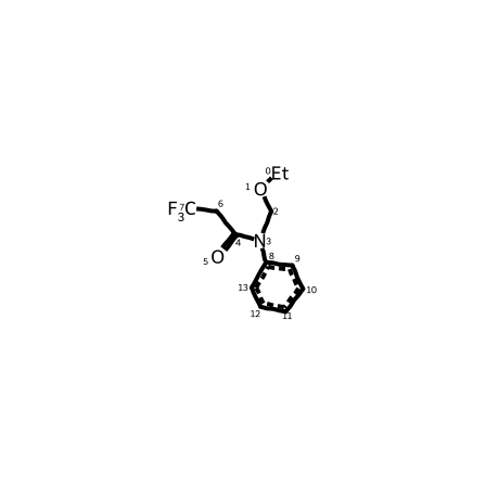 CCOCN(C(=O)CC(F)(F)F)c1ccccc1